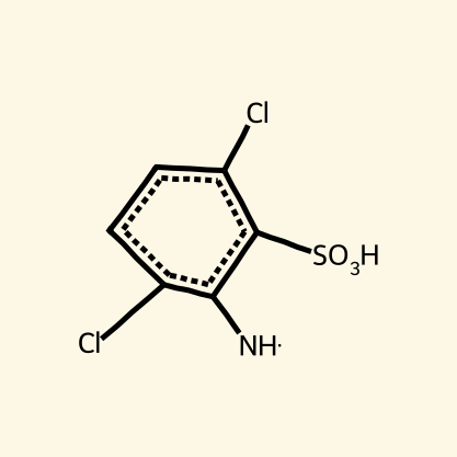 [NH]c1c(Cl)ccc(Cl)c1S(=O)(=O)O